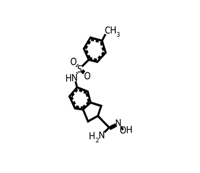 Cc1ccc(S(=O)(=O)Nc2ccc3c(c2)CC(/C(N)=N/O)C3)cc1